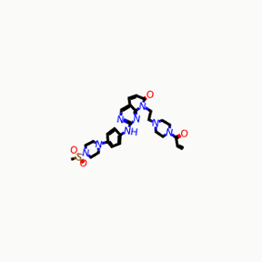 C=CC(=O)N1CCN(CCn2c(=O)ccc3cnc(Nc4ccc(N5CCN(S(C)(=O)=O)CC5)cc4)nc32)CC1